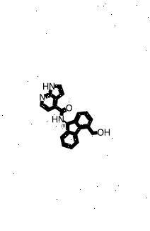 O=C(N[C@@H]1c2ccccc2-c2c(CO)cccc21)c1ccnc2[nH]ccc12